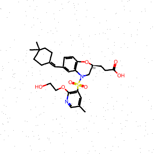 Cc1cnc(OCCO)c(S(=O)(=O)N2C[C@H](CCC(=O)O)Oc3ccc(C=C4CCC(C)(C)CC4)cc32)c1